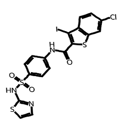 O=C(Nc1ccc(S(=O)(=O)Nc2nccs2)cc1)c1sc2cc(Cl)ccc2c1I